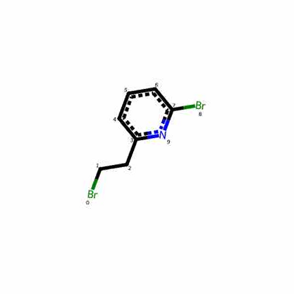 BrCCc1cccc(Br)n1